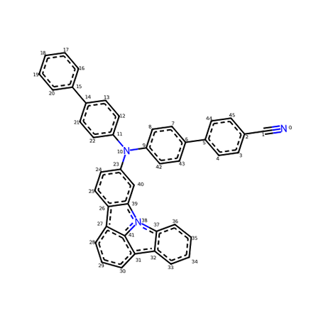 N#Cc1ccc(-c2ccc(N(c3ccc(-c4ccccc4)cc3)c3ccc4c5cccc6c7ccccc7n(c4c3)c65)cc2)cc1